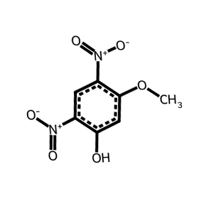 COc1cc(O)c([N+](=O)[O-])cc1[N+](=O)[O-]